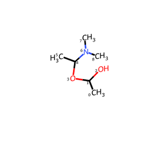 CC(O)OC(C)N(C)C